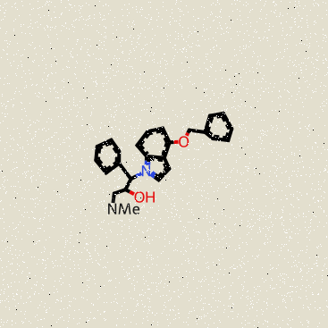 CNCC(O)C(c1ccccc1)n1ccc2c(OCc3ccccc3)cccc21